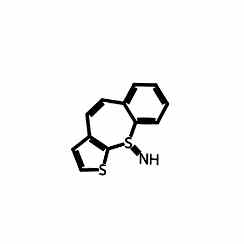 N=S1c2ccccc2C=Cc2ccsc21